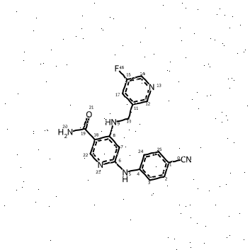 N#Cc1ccc(Nc2cc(NCc3cncc(F)c3)c(C(N)=O)cn2)cc1